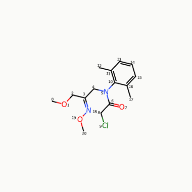 COCC(CN(C(=O)CCl)c1c(C)cccc1C)=NOC